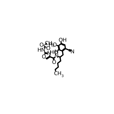 CCCCCC(Cc1c(C#N)cc(O)c(O)c1O)NC(=O)c1coc(NS(C)(=O)=O)n1